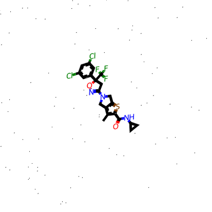 Cc1c(C(=O)NC2CC2)sc2c1CN(C1=NOC(c3cc(Cl)cc(Cl)c3)(C(F)(F)F)C1)C2